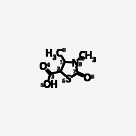 CC1C(C(=O)O)SC(=O)N1C